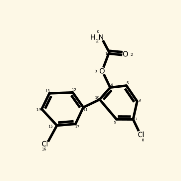 NC(=O)Oc1ccc(Cl)cc1-c1cccc(Cl)c1